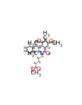 COC(=O)CCCCN(C(=O)c1cc(OC)c(C)c(OC)c1)[C@H](C)CCc1ccccc1